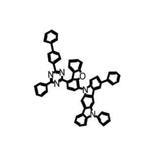 c1ccc(-c2ccc(-c3nc(-c4ccccc4)nc(-c4ccc(-n5c6ccc(-c7ccccc7)cc6c6cc7c(cc65)c5ccccc5n7-c5ccccc5)c5oc6ccccc6c45)n3)cc2)cc1